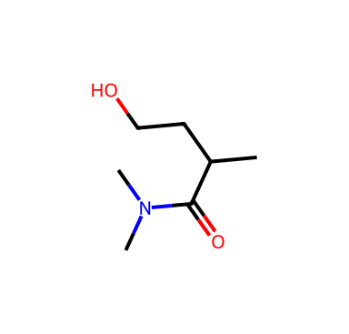 CC(CCO)C(=O)N(C)C